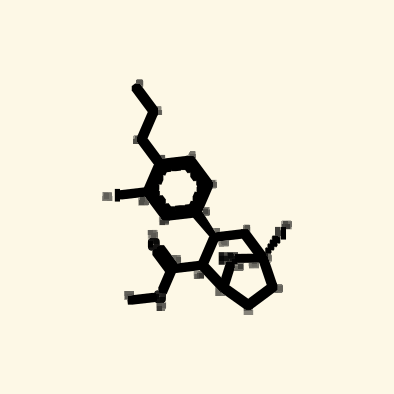 CCCc1ccc([C@H]2C[C@H]3CCC(N3)C2C(=O)OC)cc1I